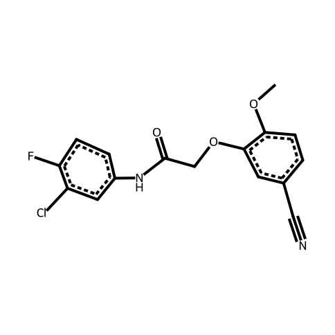 COc1ccc(C#N)cc1OCC(=O)Nc1ccc(F)c(Cl)c1